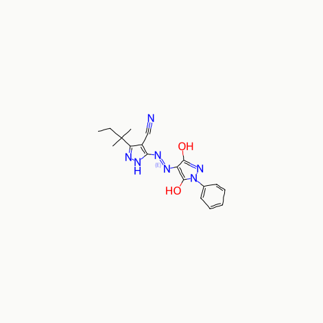 CCC(C)(C)c1n[nH]c(/N=N/c2c(O)nn(-c3ccccc3)c2O)c1C#N